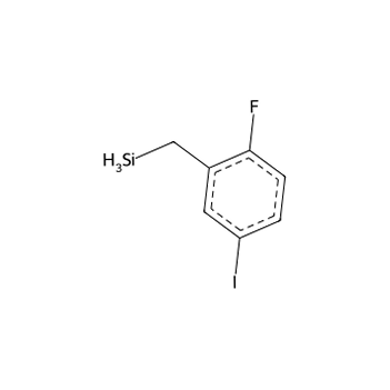 Fc1ccc(I)cc1C[SiH3]